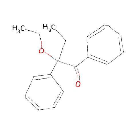 CCOC(CC)(C(=O)c1ccccc1)c1ccccc1